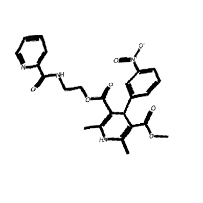 COC(=O)C1=C(C)NC(C)=C(C(=O)OCCNC(=O)c2ccccn2)C1c1cccc([N+](=O)[O-])c1